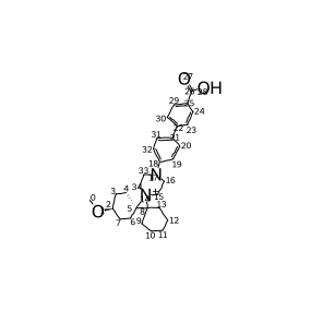 CO[C@H]1CC[C@@]2(CC1)C1(CCCCC1)[N+]21CCN(c2ccc(-c3ccc(C(=O)O)cc3)cc2)CC1